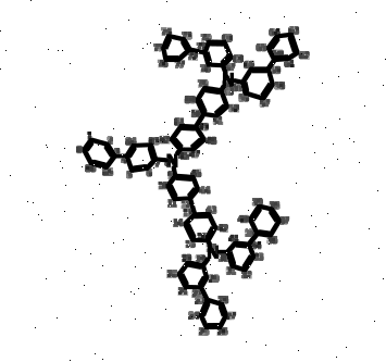 c1ccc(-c2ccc(N(c3ccc(-c4ccc(N(c5cccc(-c6ccccc6)c5)c5cccc(-c6ccccc6)c5)cc4)cc3)c3ccc(-c4ccc(N(c5cccc(-c6ccccc6)c5)c5cccc(-c6ccccc6)c5)cc4)cc3)cc2)cc1